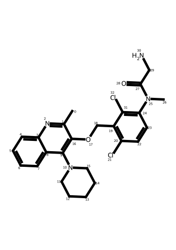 Cc1nc2ccccc2c(N2CCCCC2)c1OCc1c(Cl)ccc(N(C)C(=O)CN)c1Cl